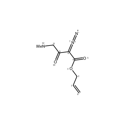 C=CCOC(=O)C(=[N+]=[N-])C(=O)CNC